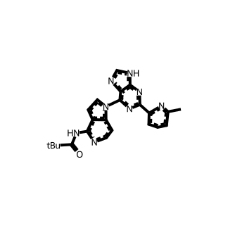 Cc1cccc(-c2nc(-n3ccc4c(NC(=O)C(C)(C)C)nccc43)c3nc[nH]c3n2)n1